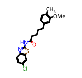 COc1cc(CCCCC(=O)Nc2nc3ccc(Cl)cc3s2)ccc1C